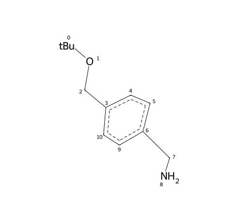 CC(C)(C)OCc1ccc(CN)cc1